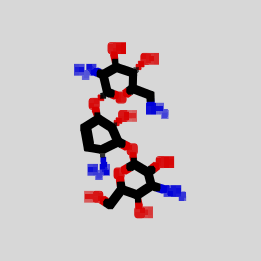 NCC1O[C@H](O[C@@H]2C=C[C@@H](N)C(O[C@@H]3OC(CO)[C@H](O)C(N)C3O)[C@H]2O)C(N)[C@@H](O)[C@@H]1O